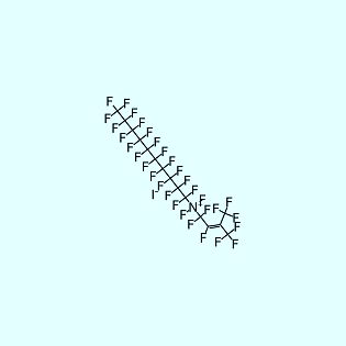 FC(=C(C(F)(F)F)C(F)(F)F)C(F)(F)[N+](F)(F)C(F)(F)C(F)(F)C(F)(F)C(F)(F)C(F)(F)C(F)(F)C(F)(F)C(F)(F)C(F)(F)C(F)(F)F.[I-]